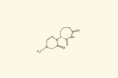 CN1CCN(C2CCCC(=O)NC2=O)C(=O)C1